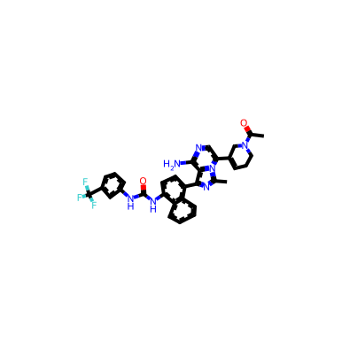 CC(=O)N1CCC=C(c2cnc(N)c3c(-c4ccc(NC(=O)Nc5cccc(C(F)(F)F)c5)c5ccccc45)nc(C)n23)C1